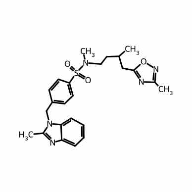 Cc1noc(CC(C)CCN(C)S(=O)(=O)c2ccc(Cn3c(C)nc4ccccc43)cc2)n1